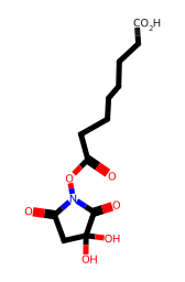 O=C(O)CCCCCCC(=O)ON1C(=O)CC(O)(O)C1=O